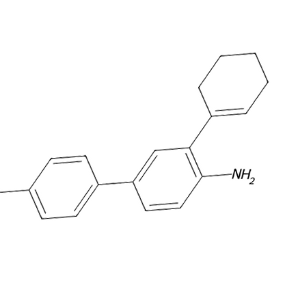 Nc1ccc(-c2ccc(S)cc2)cc1C1=CCCCC1